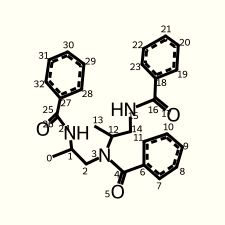 CC(CN(C(=O)c1ccccc1)C(C)CNC(=O)c1ccccc1)NC(=O)c1ccccc1